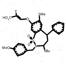 CCCCC1CC(c2ccccc2)c2cc(SC)c(O/C=C(\F)C(=O)O)cc2S(=O)(=O)N1Cc1ccc(OC)cc1